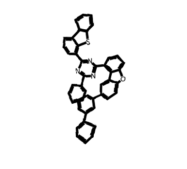 C1=CC2Sc3c(-c4nc(-c5ccccc5)nc(-c5cccc6oc7ccc(-c8cccc(-c9ccccc9)c8)cc7c56)n4)cccc3C2C=C1